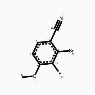 COc1ccc(C#N)c(Br)c1F